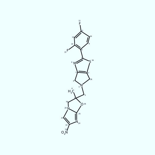 CC1(CN2Cc3nc(-c4ccc(F)cc4F)sc3C2)Cn2cc([N+](=O)[O-])nc2O1